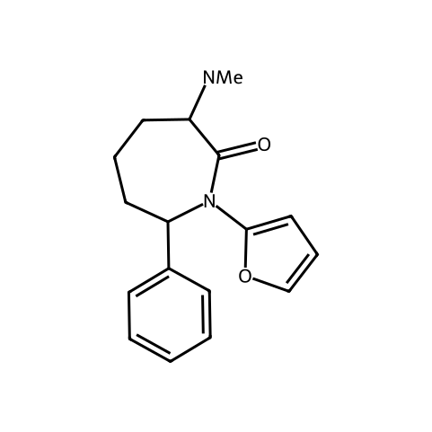 CNC1CCCC(c2ccccc2)N(c2ccco2)C1=O